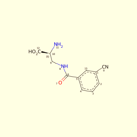 N#Cc1cccc(C(=O)NC[C@H](N)C(=O)O)c1